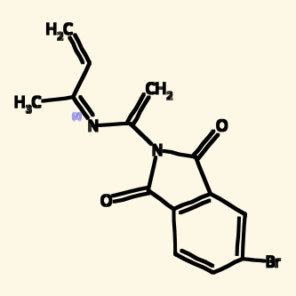 C=C/C(C)=N\C(=C)N1C(=O)c2ccc(Br)cc2C1=O